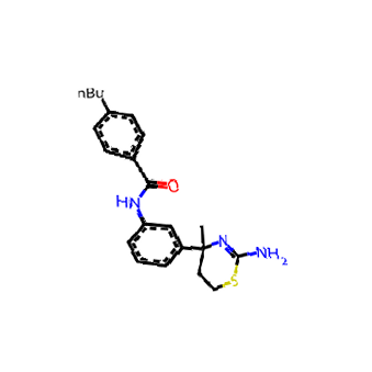 CCCCc1ccc(C(=O)Nc2cccc(C3(C)CCSC(N)=N3)c2)cc1